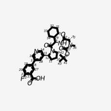 C[C@@H](C(=O)N[C@H](C(=O)N1CCC[C@H]1c1cncc(-c2ccc(F)c(C(=O)O)c2)c1)C1CCCCC1)N(C)C(=O)OC(C)(C)C